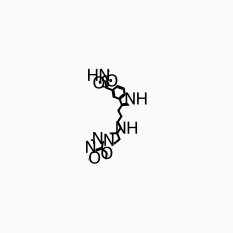 CNS(=O)(=O)Cc1ccc2[nH]cc(CCCNC3CCN(c4ncnc(OC)c4OC)C3)c2c1